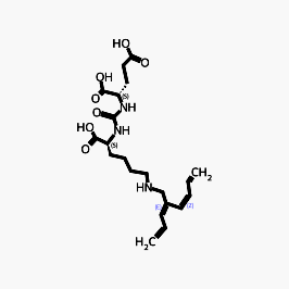 C=C/C=C\C(=C/C=C)CNCCCC[C@H](NC(=O)N[C@@H](CCC(=O)O)C(=O)O)C(=O)O